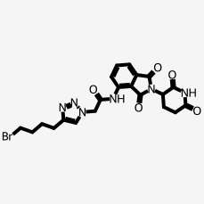 O=C1CCC(N2C(=O)c3cccc(NC(=O)Cn4cc(CCCCBr)nn4)c3C2=O)C(=O)N1